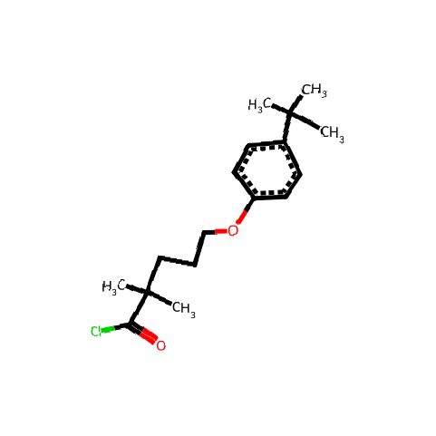 CC(C)(CCCOc1ccc(C(C)(C)C)cc1)C(=O)Cl